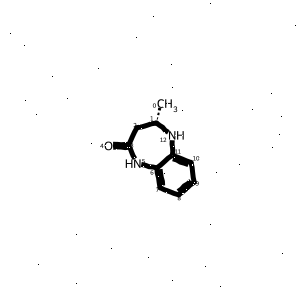 C[C@H]1CC(=O)Nc2ccccc2N1